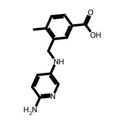 Cc1ccc(C(=O)O)cc1CNc1ccc(N)nc1